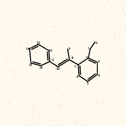 CCc1ccccc1/C(C)=C/c1ccccc1